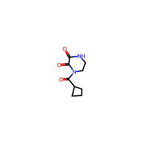 O=C1NCCN(C(=O)C2CCC2)C1=O